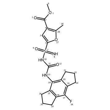 COC(=O)c1cc(S(=N)(=O)NC(=O)Nc2c3c(c(F)c4c2CCC4)CCC3)oc1C